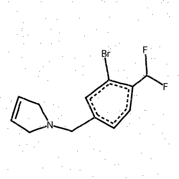 F[C](F)c1ccc(CN2CC=CC2)cc1Br